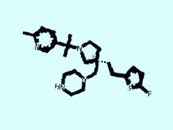 Cc1ccc(C(C)(C)N2CC[C@@](CCc3ccc(F)s3)(CN3CCNCC3)C2)cn1